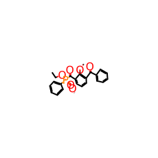 CCOP(=O)(C(=O)c1c(OC)ccc(C(=O)c2ccccc2)c1OC)c1ccccc1